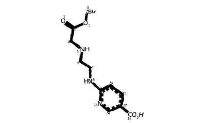 CC(C)(C)OC(=O)CNCCNc1ccc(C(=O)O)cn1